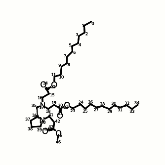 CCCCCCCCCCCCOC(=O)CCN(CCC(=O)OCCCCCCCCCCCC)C[C@@H]1CCCN1CCC(=O)OC